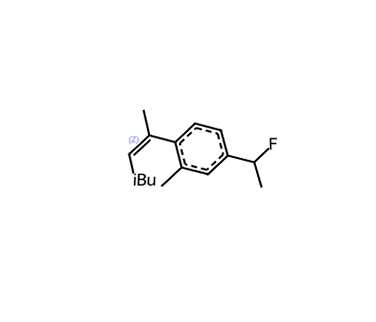 CCC(C)/C=C(/C)c1ccc(C(C)F)cc1C